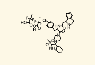 CS(=O)(=O)C(N)C(C1CCCCC1)N1CCN(C(=O)C(Cc2ccc(Cl)cc2)NC(=O)CC2NCCc3ccccc32)CC1.O=C(O)C(F)(F)F.O=C(O)C(F)(F)F